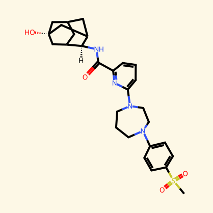 CS(=O)(=O)c1ccc(N2CCCN(c3cccc(C(=O)N[C@H]4C5CC6CC4C[C@](O)(C6)C5)n3)CC2)cc1